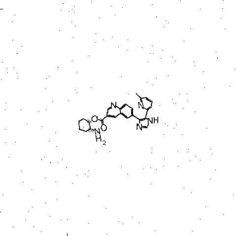 Cc1cccc(-c2[nH]cnc2-c2ccc3ncc(C(=O)O[C@H]4CCCC[C@@H]4N)cc3c2)n1